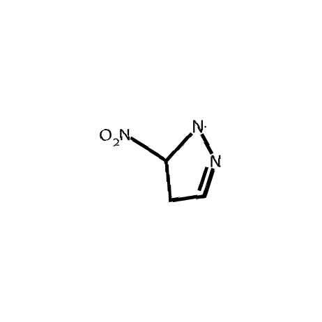 O=[N+]([O-])C1CC=N[N]1